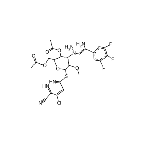 COC1C(SC(=N)/C=C(/Cl)C(=N)C#N)OC(COC(C)=O)C(OC(C)=O)C1N(N)/C=C(\N)c1cc(F)c(F)c(F)c1